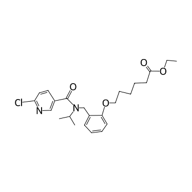 CCOC(=O)CCCCCOc1ccccc1CN(C(=O)c1ccc(Cl)nc1)C(C)C